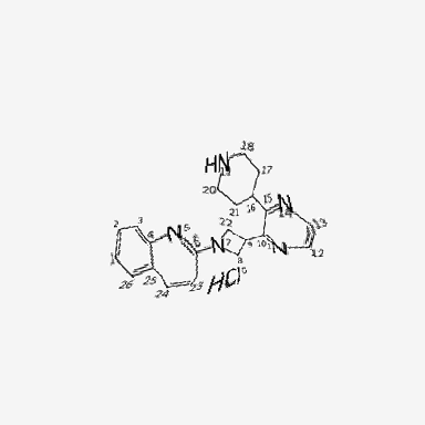 Cl.c1ccc2nc(N3CC(c4nccnc4C4CCNCC4)C3)ccc2c1